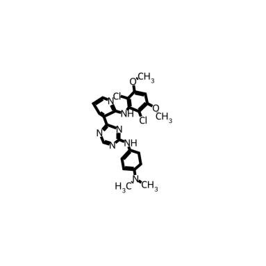 COc1cc(OC)c(Cl)c(Nc2ncccc2-c2ncnc(NC3=CC=C(N(C)C)CC3)n2)c1Cl